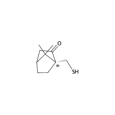 CC1(C)C2CC[C@]1(CS)C(=O)C2